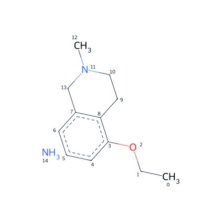 CCOc1cccc2c1CCN(C)C2.N